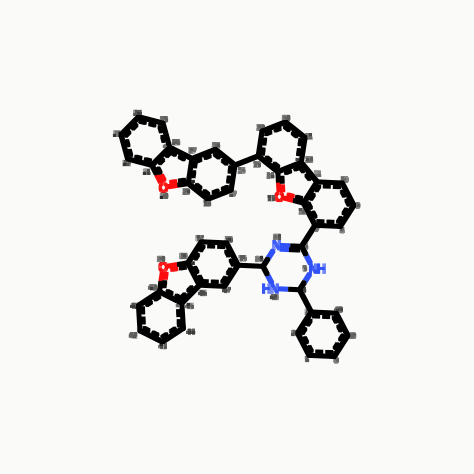 c1ccc(C2NC(c3cccc4c3oc3c(-c5ccc6oc7ccccc7c6c5)cccc34)=NC(c3ccc4oc5ccccc5c4c3)N2)cc1